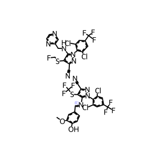 COc1cc(/C=N/c2c(SC(F)(F)F)c(C#N)nn2-c2c(Cl)cc(C(F)(F)F)cc2Cl)ccc1O.N#Cc1nn(-c2c(Cl)cc(C(F)(F)F)cc2Cl)c(NCc2cnccn2)c1SCF